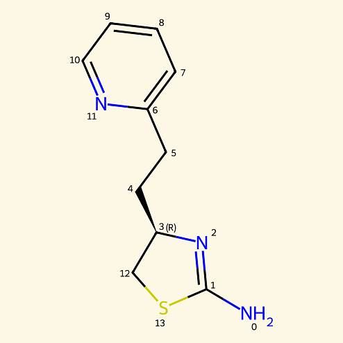 NC1=N[C@H](CCc2ccccn2)CS1